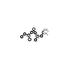 C=C/C=C\C(=C)c1cccc(-c2cc(-c3ccc(C4(c5ccc(-c6cc(-c7cccc(-c8ccccc8)c7)nc(C7=CC=CC=CC7)n6)cc5)CCCCC4)cc3)nc(-c3ccccc3)n2)c1